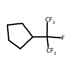 FC(F)(F)C(F)(C1CCCC1)C(F)(F)F